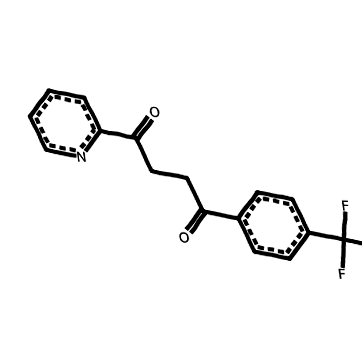 O=C(CCC(=O)c1ccccn1)c1ccc(C(F)(F)F)cc1